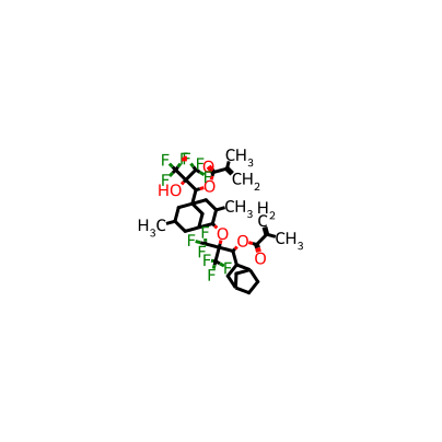 C=C(C)C(=O)OC(C12CC(C)CC(C1)C(OC(C(OC(=O)C(=C)C)C1CC3CCC1C3)(C(F)(F)F)C(F)(F)F)C(C)C2)C(O)(C(F)(F)F)C(F)(F)F